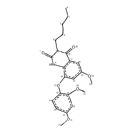 CCCCCC1C(=O)Nc2c(Oc3ccc(OC)cc3OC)cc(OC)cc2C1=O